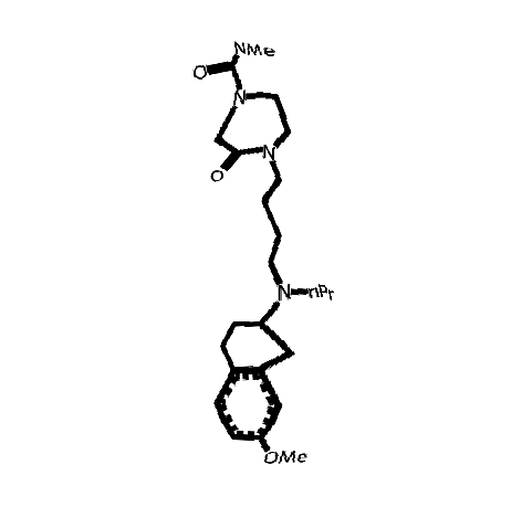 CCCN(CCCCN1CCN(C(=O)NC)CC1=O)C1CCc2ccc(OC)cc2C1